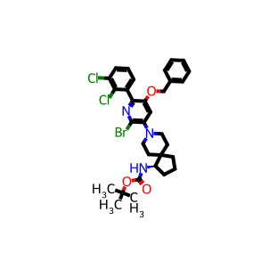 CC(C)(C)OC(=O)N[C@@H]1CCCC12CCN(c1cc(OCc3ccccc3)c(-c3cccc(Cl)c3Cl)nc1Br)CC2